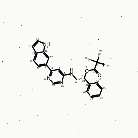 O=C(O[C@@H](CNc1cc(-c2ccc3cc[nH]c3c2)ncn1)c1ccccc1)C(F)(F)F